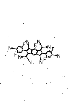 N#CC(C#N)=C1C(c2cc(F)c(C#N)cc2F)=C(C#N)c2c1cc1c(c2F)C(=C(C#N)C#N)C(c2cc(F)c(C#N)cc2F)=C1C#N